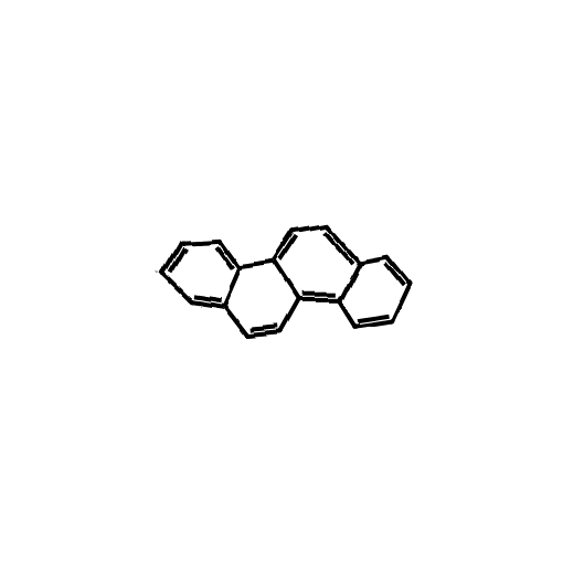 [c]1ccc2c(c1)ccc1c3ccccc3ccc21